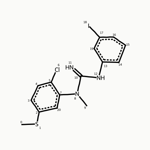 CSc1ccc(Cl)c(N(C)C(=N)Nc2cccc(I)c2)c1